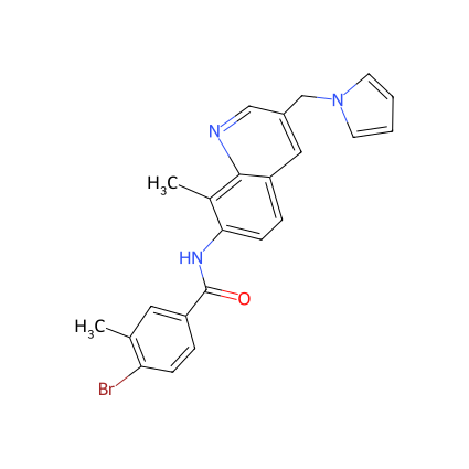 Cc1cc(C(=O)Nc2ccc3cc(Cn4cccc4)cnc3c2C)ccc1Br